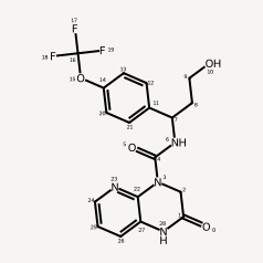 O=C1CN(C(=O)NC(CCO)c2ccc(OC(F)(F)F)cc2)c2ncccc2N1